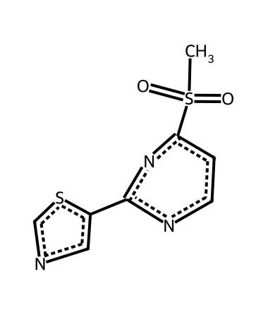 CS(=O)(=O)c1ccnc(-c2cncs2)n1